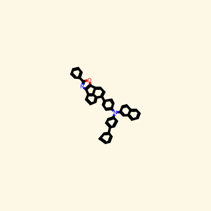 c1ccc(-c2ccc(N(c3ccc(-c4ccc5c6c(cccc46)-c4nc(-c6ccccc6)oc4-5)cc3)c3ccc4ccccc4c3)cc2)cc1